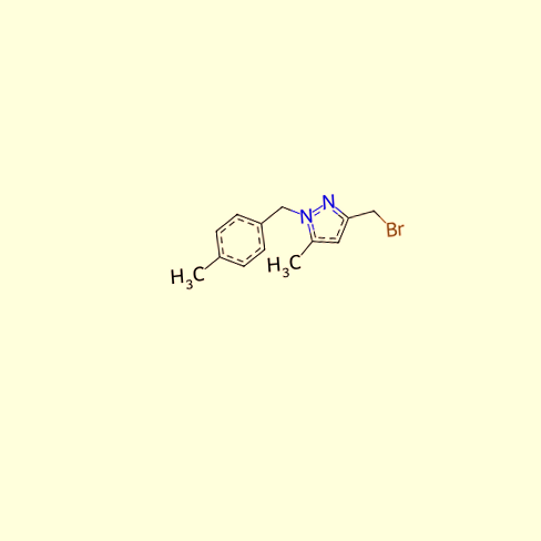 Cc1ccc(Cn2nc(CBr)cc2C)cc1